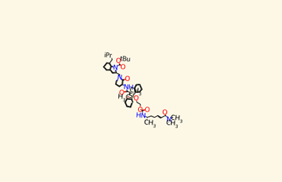 CC(C)Cc1cccc2cc(Cn3cccc(NC(=O)C(C)(C)[Si](OCCOC(=O)N[C@@H](C)CC/C=C/C(=O)N(C)C)(c4ccccc4)c4ccccc4)c3=O)n(C(=O)OC(C)(C)C)c12